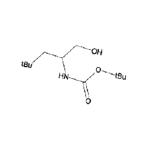 CC(C)(C)CC(CO)NC(=O)OC(C)(C)C